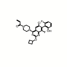 C=CC(=O)N1CCN(c2nc(OC3CCC3)nc3c(F)c(-c4c(O)cccc4F)c(Cl)cc23)CC1